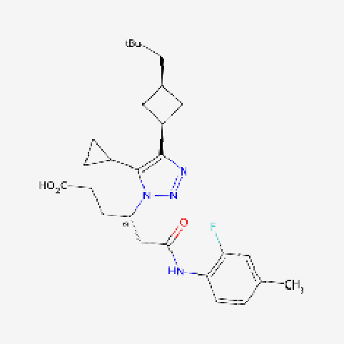 Cc1ccc(NC(=O)C[C@H](CCC(=O)O)n2nnc([C@H]3C[C@@H](CC(C)(C)C)C3)c2C2CC2)c(F)c1